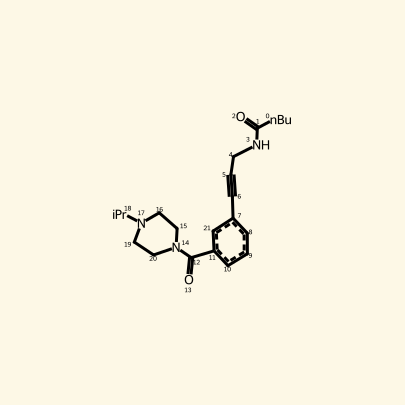 CCCCC(=O)NCC#Cc1cccc(C(=O)N2CCN(C(C)C)CC2)c1